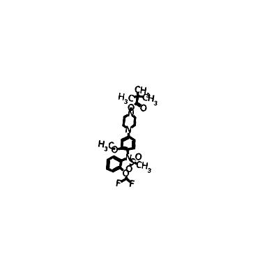 COc1cc(N2CCN(OC(=O)C(C)(C)C)CC2)ccc1N(c1ccccc1OC(F)F)S(C)(=O)=O